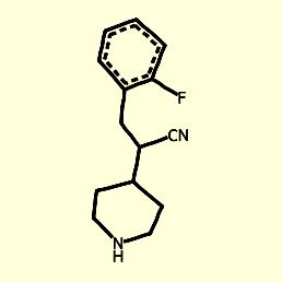 N#CC(Cc1ccccc1F)C1CCNCC1